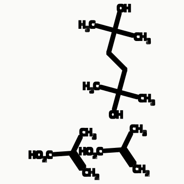 C=C(C)C(=O)O.C=C(C)C(=O)O.CC(C)(O)CCC(C)(C)O